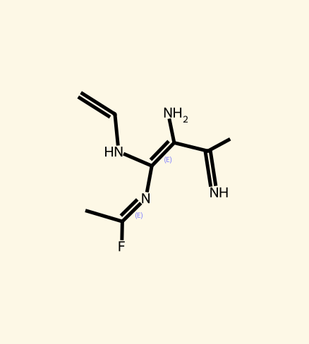 C=CNC(/N=C(\C)F)=C(\N)C(C)=N